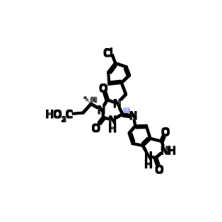 C[C@@H](CC(=O)O)n1c(=O)[nH]/c(=N\c2ccc3[nH]c(=O)[nH]c(=O)c3c2)n(Cc2ccc(Cl)cc2)c1=O